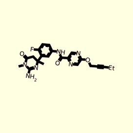 CCC#CCOc1cnc(C(=O)Nc2ccc(F)c(C3(C)CC(=O)N(C)C(N)=N3)c2)cn1